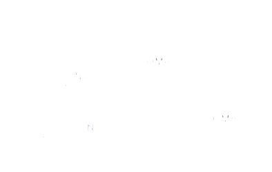 COc1ccc(C(=N[S+]([O-])C(C)(C)C)c2cccc(C)n2)c(OC)c1